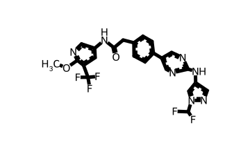 COc1ncc(NC(=O)Cc2ccc(-c3cnc(Nc4cnn(C(F)F)c4)nc3)cc2)cc1C(F)(F)F